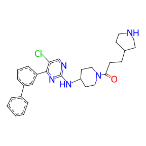 O=C(CCC1CCNCC1)N1CCC(Nc2ncc(Cl)c(-c3cccc(-c4ccccc4)c3)n2)CC1